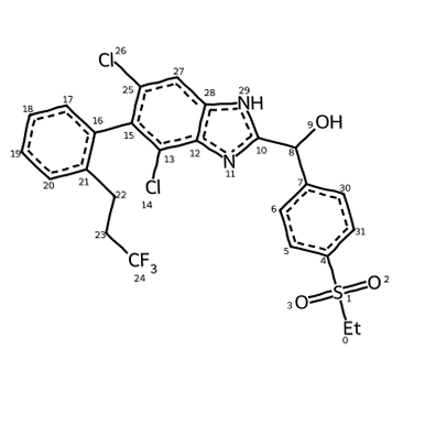 CCS(=O)(=O)c1ccc(C(O)c2nc3c(Cl)c(-c4ccccc4CCC(F)(F)F)c(Cl)cc3[nH]2)cc1